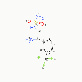 NC(CNS(N)(=O)=O)c1cccc(C(F)(F)F)c1